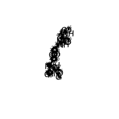 COC(=O)N[C@H](C(=O)N1CCOC[C@H]1c1ncc(-c2ccc3c(c2)Oc2ccc(-c4cnc([C@@H]5COCCN5C(=O)[C@@H](NC(=O)OC)C(C)C)[nH]4)cc2O3)[nH]1)C(C)C